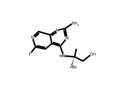 CCCC[C@](C)(CO)Nc1nc(N)nc2cnc(F)cc12